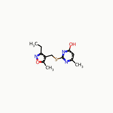 CCc1noc(C)c1CSc1nc(C)cc(O)n1